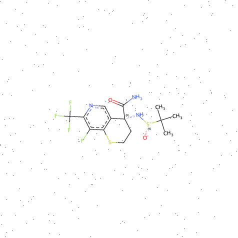 CC(C)(C)[S@+]([O-])N[C@]1(C(N)=O)CCSc2c1cnc(C(F)(F)F)c2F